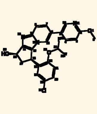 COc1ccc(-c2ccc3nc4c(n3c2)[C@@H](c2cc(Cl)ccc2OC(F)F)C[C@H]4O)cn1